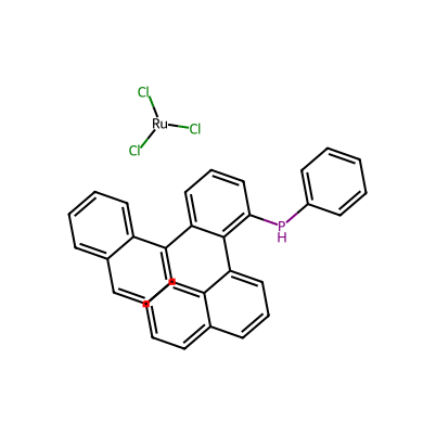 [Cl][Ru]([Cl])[Cl].c1ccc(Pc2cccc(-c3cccc4ccccc34)c2-c2cccc3ccccc23)cc1